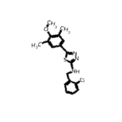 COc1c(C)cc(-c2nnc(NCc3ccccc3Cl)s2)cc1C